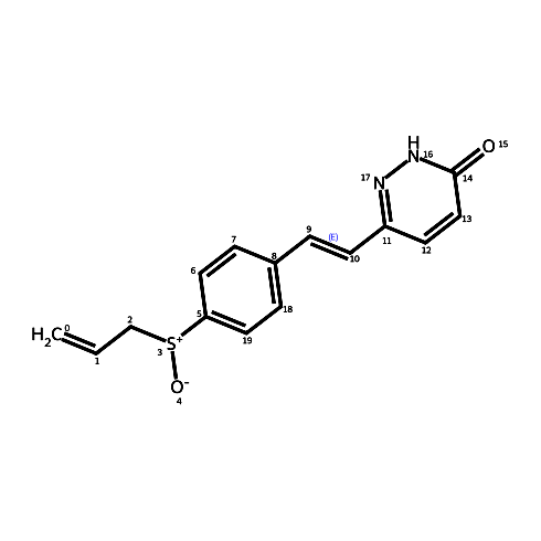 C=CC[S+]([O-])c1ccc(/C=C/c2ccc(=O)[nH]n2)cc1